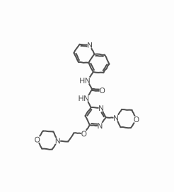 O=C(Nc1cc(OCCN2CCOCC2)nc(N2CCOCC2)n1)Nc1cccc2ncccc12